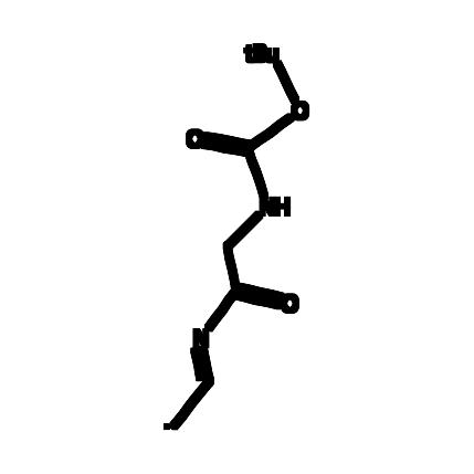 [CH2]C=NC(=O)CNC(=O)OC(C)(C)C